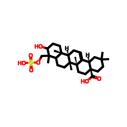 CC1(C)CC[C@]2(C(=O)O)CC[C@]3(C)C(=CC[C@@H]4[C@@]5(C)CCC(O)C(C)(COS(=O)(=O)O)C5CC[C@]43C)[C@H]2C1